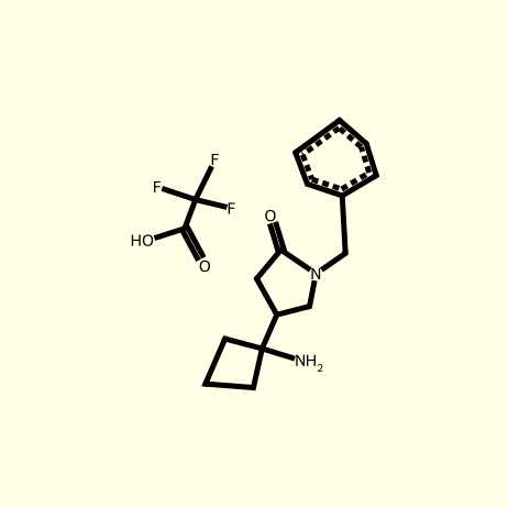 NC1(C2CC(=O)N(Cc3ccccc3)C2)CCC1.O=C(O)C(F)(F)F